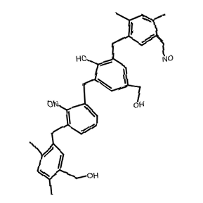 Cc1cc(C)c(Cc2cccc(Cc3cc(CO)cc(Cc4cc(CN=O)c(C)cc4C)c3O)c2N=O)cc1CO